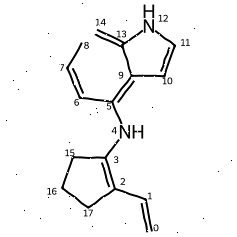 C=CC1=C(NC(/C=C\C)=c2\cc[nH]c2=C)CCC1